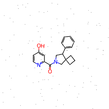 O=C(c1cc(O)ccn1)N1CC(c2ccccc2)C2(CCC2)C1